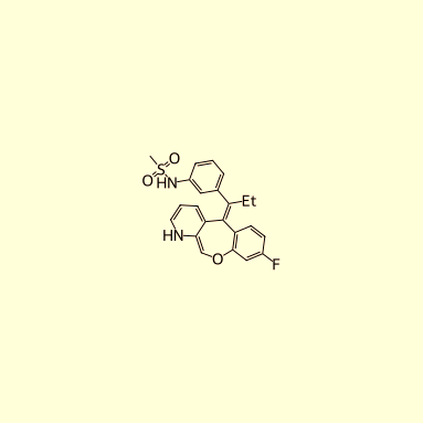 CCC(=C1C2=CC=CNC2=COc2cc(F)ccc21)c1cccc(NS(C)(=O)=O)c1